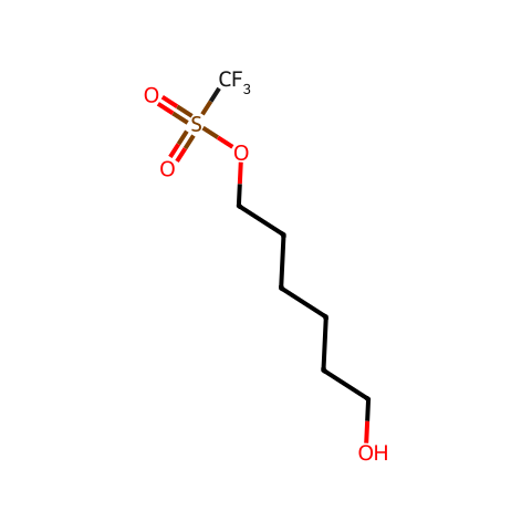 O=S(=O)(OCCCCCCO)C(F)(F)F